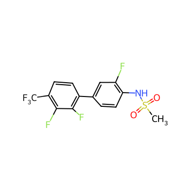 CS(=O)(=O)Nc1ccc(-c2ccc(C(F)(F)F)c(F)c2F)cc1F